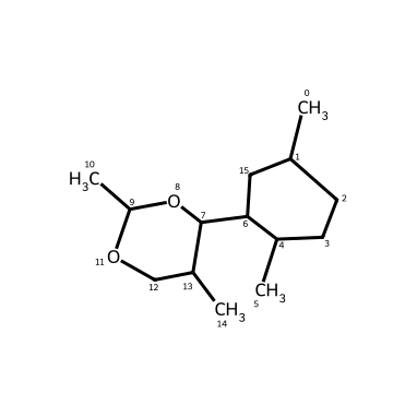 CC1CCC(C)C(C2OC(C)OCC2C)C1